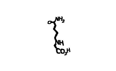 NC(=O)CCCCNCC(=O)O